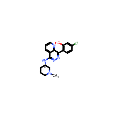 CN1CCC[C@@H](Nc2nnc(-c3ccc(Cl)cc3O)c3ncccc23)C1